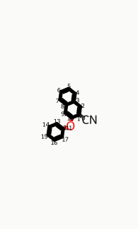 N#Cc1cc2ccccc2[c]c1Oc1ccccc1